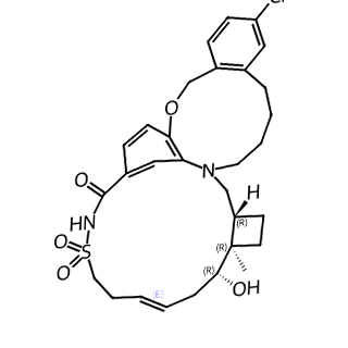 C[C@@]12CC[C@H]1CN1CCCCc3cc(Cl)ccc3COc3ccc(cc31)C(=O)NS(=O)(=O)CC/C=C/C[C@H]2O